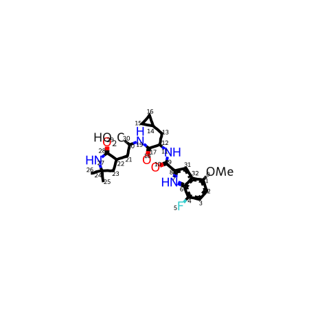 COc1ccc(F)c2[nH]c(C(=O)NC(CC3CC3)C(=O)NC(CC3CC(C)(C)NC3=O)C(=O)O)cc12